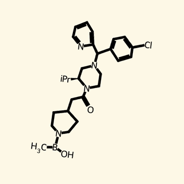 CB(O)N1CCC(CC(=O)N2CCN(C(c3ccc(Cl)cc3)c3ccccn3)C[C@@H]2C(C)C)CC1